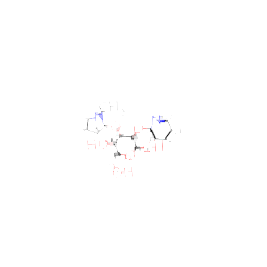 CN1CCCC1O[C@H]1[C@@H](O)[C@@H](CO)O[C@@H](O)[C@@H]1Oc1ccccn1